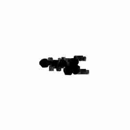 COc1ccc(C(OC[C@H]2O[C@@H](n3ccc(NC(=O)c4ccccc4)nc3=O)C(F)(F)C2O)(c2ccccc2)c2ccc(OC)cc2)cc1